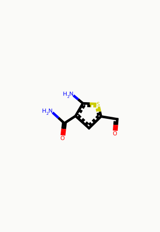 NC(=O)c1cc(C=O)sc1N